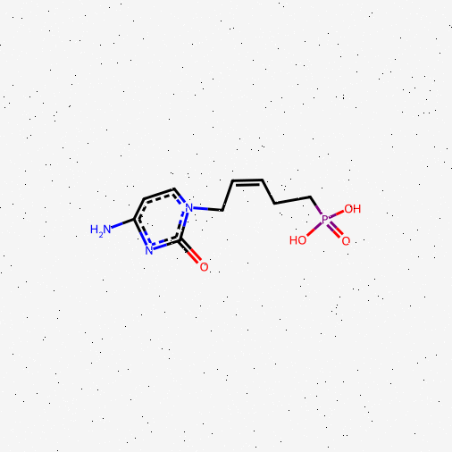 Nc1ccn(C/C=C\CCP(=O)(O)O)c(=O)n1